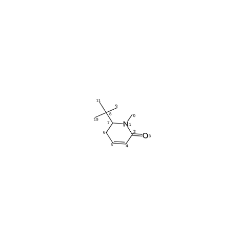 CN1C(=O)C=CCC1C(C)(C)C